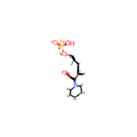 C/C(=C/C=C/O[PH](=O)O)C(=O)N1CCCCC1